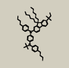 CCCCCCC1(CCCCCC)c2cc(N(c3ccc(CCCC)cc3)c3ccc(N(c4ccc(CCCC)cc4)C(C)(C)C)cc3)ccc2-c2ccc(C(C)(C)CC)cc21